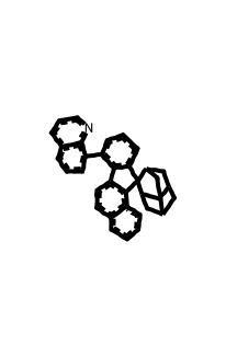 c1cc(-c2cccc3cccnc23)c2c(c1)C1(c3c-2ccc2ccccc32)C2CC3CC(C2)CC1C3